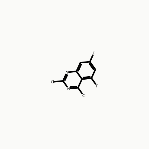 Fc1cc(F)c2c(Cl)nc(Cl)nc2c1